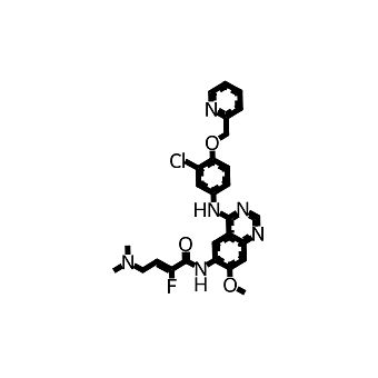 COc1cc2ncnc(Nc3ccc(OCc4ccccn4)c(Cl)c3)c2cc1NC(=O)/C(F)=C/CN(C)C